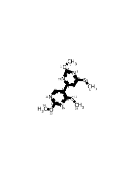 COc1nc(SC)cc(-c2cnc(OC)nc2SC)n1